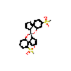 CS(=O)(=O)c1cccc([O][Zr]([O]c2cccc(S(C)(=O)=O)c2)([CH]2C=CC=C2)[CH]2C=CC=C2)c1